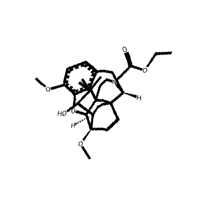 CCOC(=O)N1CCC23c4c5ccc(OC)c4OC2[C@@]2(OC)CCC3(C[C@@H]2[C@@](C)(O)C(C)(C)C)[C@H]1C5